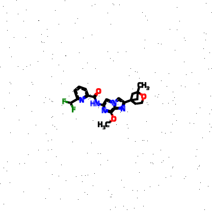 COc1nc(NC(=O)c2cccc(C(F)F)n2)cn2cc(C34CCOC(C)(C3)C4)nc12